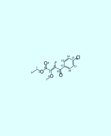 CCOC(=O)/C(OC)=C(\C)C(=O)c1ccc(Cl)cc1